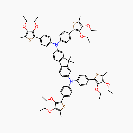 CCOc1c(C)sc(-c2ccc(N(c3ccc(-c4sc(C)c(OCC)c4OCC)cc3)c3ccc4c(c3)C(C)(C)c3cc(N(c5ccc(-c6sc(C)c(OCC)c6OCC)cc5)c5ccc(-c6sc(C)c(OCC)c6OCC)cc5)ccc3-4)cc2)c1OCC